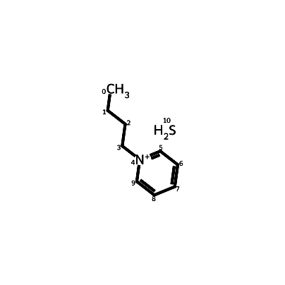 CCCC[n+]1ccccc1.S